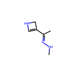 CN/N=C(\C)C1=CNC1